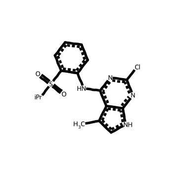 Cc1c[nH]c2nc(Cl)nc(Nc3ccccc3S(=O)(=O)C(C)C)c12